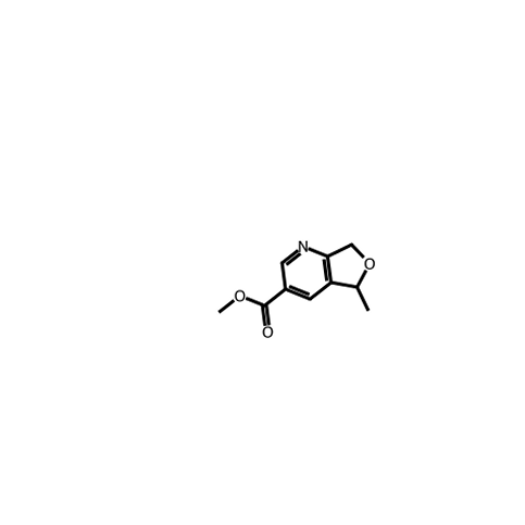 COC(=O)c1cnc2c(c1)C(C)OC2